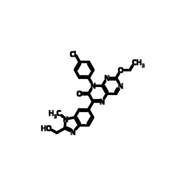 CCOc1ncc2nc(-c3ccc4nc(CO)n(C)c4c3)c(=O)n(-c3ccc(Cl)cc3)c2n1